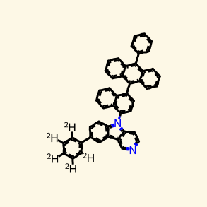 [2H]c1c([2H])c([2H])c(-c2ccc3c(c2)c2cnccc2n3-c2ccc(-c3c4ccccc4c(-c4ccccc4)c4ccccc34)c3ccccc23)c([2H])c1[2H]